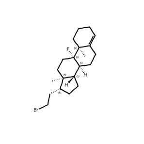 C[C@]12CC[C@]3(F)[C@@H](CCC4=CCCC[C@@]43C)[C@@H]1CC[C@@H]2CCBr